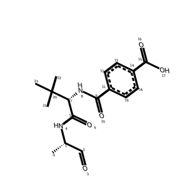 C[C@@H](C=O)NC(=O)[C@@H](NC(=O)c1ccc(C(=O)O)cc1)C(C)(C)C